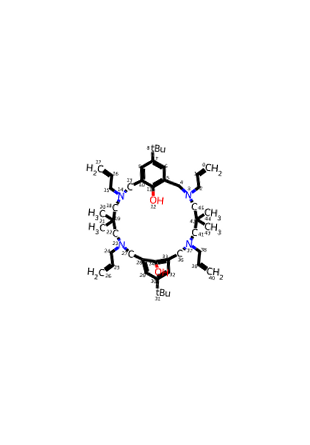 C=CCN1Cc2cc(C(C)(C)C)cc(c2O)CN(CC=C)CC(C)(C)CN(CC=C)Cc2cc(C(C)(C)C)cc(c2O)CN(CC=C)CC(C)(C)C1